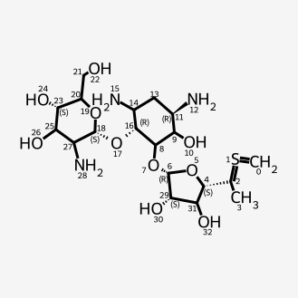 C=S=C(C)[C@H]1O[C@@H](OC2C(O)[C@H](N)CC(N)[C@H]2O[C@H]2OC(CO)[C@@H](O)C(O)C2N)[C@@H](O)C1O